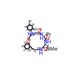 CNC[C@@H]1NC(=O)[C@@H](C(C)C)NC(=O)[C@@H](Cc2cccc(I)c2)NCCOc2ccccc2CCCNC1=O